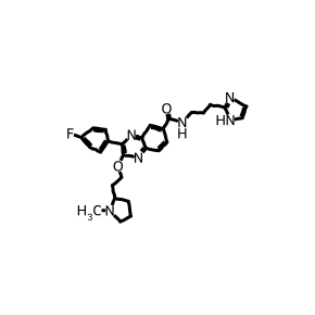 CN1CCCC1CCOc1nc2ccc(C(=O)NCCCc3ncc[nH]3)cc2nc1-c1ccc(F)cc1